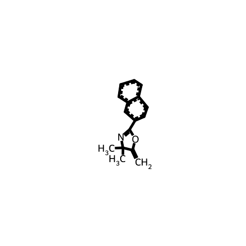 C=C1OC(c2ccc3ccccc3c2)=NC1(C)C